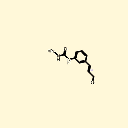 CCCNC(=O)Nc1cccc(/C=C/C[O])c1